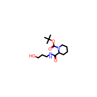 CC(C)(C)OC(=O)N1CCCCC1C(=O)NCCCO